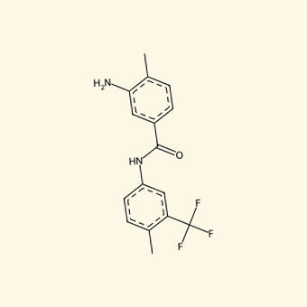 Cc1ccc(C(=O)Nc2ccc(C)c(C(F)(F)F)c2)cc1N